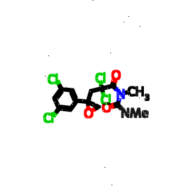 CNC(=O)N(C)C(=O)C(Cl)(Cl)CC1(c2cc(Cl)cc(Cl)c2)CO1